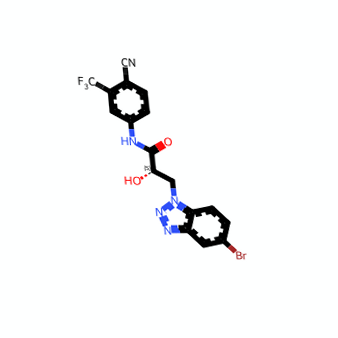 N#Cc1ccc(NC(=O)[C@@H](O)Cn2nnc3cc(Br)ccc32)cc1C(F)(F)F